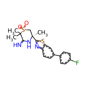 CC1(C)C(=N)N[C@](C)(c2nc3ccc(-c4ccc(F)cc4)cc3s2)CS1(=O)=O